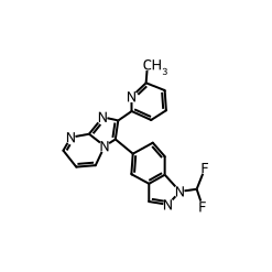 Cc1cccc(-c2nc3ncccn3c2-c2ccc3c(cnn3C(F)F)c2)n1